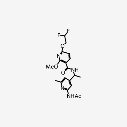 COc1nc(OCC(F)F)ccc1C(=O)NC(C)c1cc(C)nc(NC(C)=O)c1